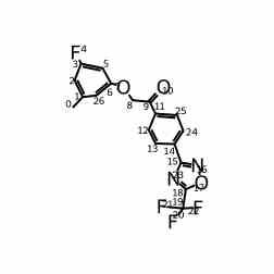 Cc1cc(F)cc(OCC(=O)c2ccc(-c3noc(C(F)(F)F)n3)cc2)c1